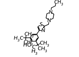 CCCN1CCN(Cc2nc(-c3cc(C(C)(C)C)c(O)c(C(C)(C)C)c3)cs2)CC1